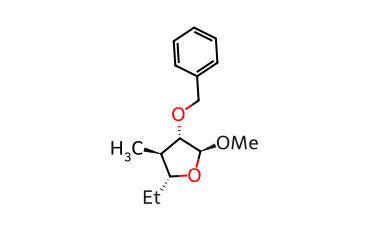 CC[C@H]1O[C@H](OC)[C@@H](OCc2ccccc2)[C@@H]1C